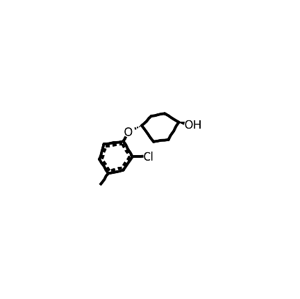 Cc1ccc(O[C@H]2CC[C@H](O)CC2)c(Cl)c1